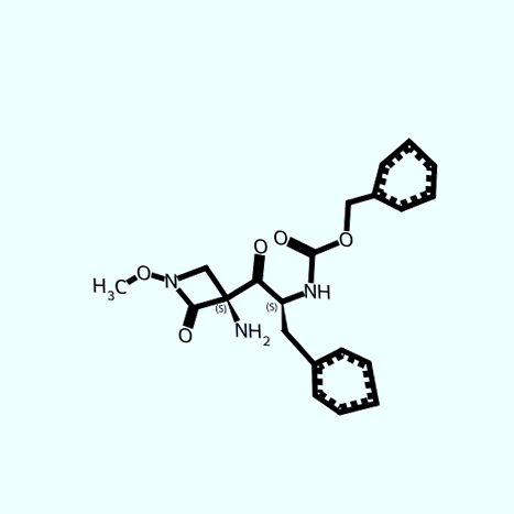 CON1C[C@](N)(C(=O)[C@H](Cc2ccccc2)NC(=O)OCc2ccccc2)C1=O